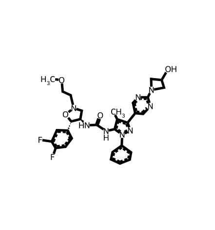 COCCN1C[C@@H](NC(=O)Nc2c(C)c(-c3cnc(N4CC(O)C4)nc3)nn2-c2ccccc2)[C@H](c2ccc(F)c(F)c2)O1